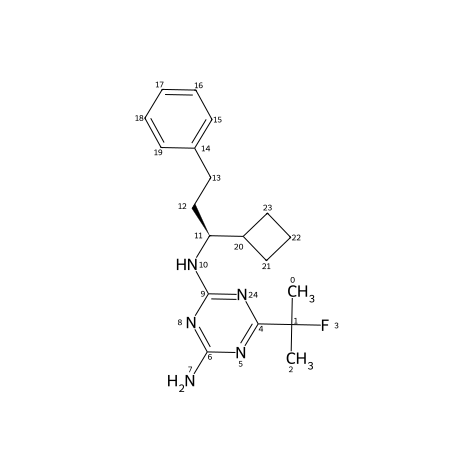 CC(C)(F)c1nc(N)nc(N[C@@H](CCc2ccccc2)C2CCC2)n1